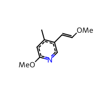 COC=Cc1cnc(OC)cc1C